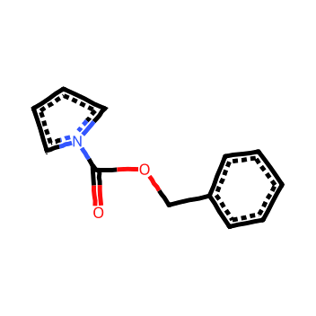 O=C(OCc1ccccc1)n1[c]ccc1